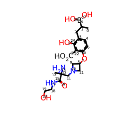 CC(Cc1ccc(OC2CN(CC(C)(N)C(=O)NCCO)C2)c(C(=O)O)c1O)B(O)O